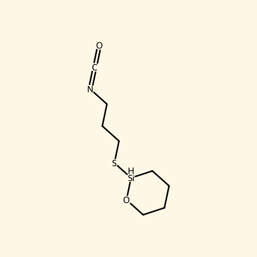 O=C=NCCCS[SiH]1CCCCO1